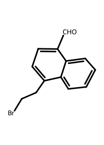 O=Cc1ccc(CCBr)c2ccccc12